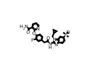 CP(C)(=O)c1ccc2nc(NC(=O)Cc3ccc(Oc4ncccc4C(N)=O)c(F)c3)n(CC3CC3)c2c1